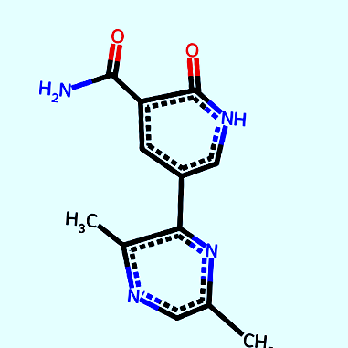 Cc1cnc(C)c(-c2c[nH]c(=O)c(C(N)=O)c2)n1